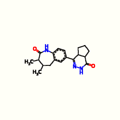 CC1Cc2cc(C3=NNC(=O)C4CCCC34)ccc2NC(=O)C1C